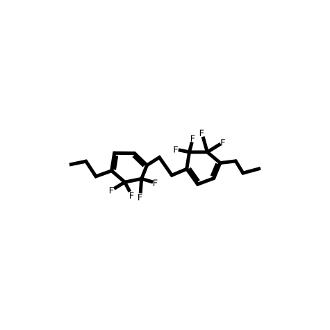 CCCC1=CC=C(CCC2=CC=C(CCC)C(F)(F)C2(F)F)C(F)(F)C1(F)F